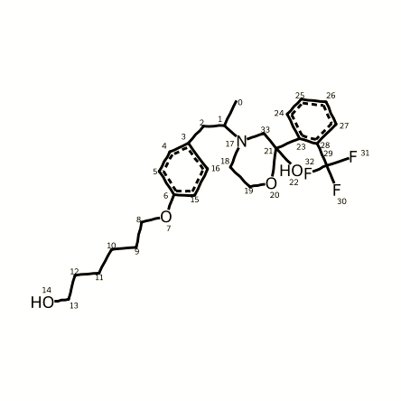 CC(Cc1ccc(OCCCCCCO)cc1)N1CCOC(O)(c2ccccc2C(F)(F)F)C1